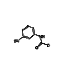 CC(C)(C)c1cccc(NC([O])=O)c1